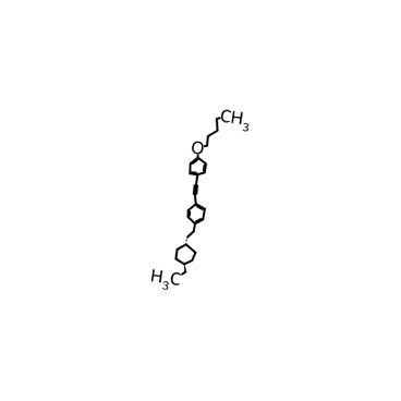 CCCCCOc1ccc(C#Cc2ccc(CC[C@H]3CC[C@H](CC)CC3)cc2)cc1